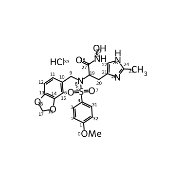 COc1ccc(S(=O)(=O)N(Cc2ccc3c(c2)OCO3)C(Cc2c[nH]c(C)n2)C(=O)NO)cc1.Cl